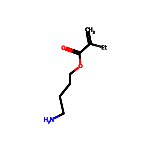 C=C(CC)C(=O)OCCCCN